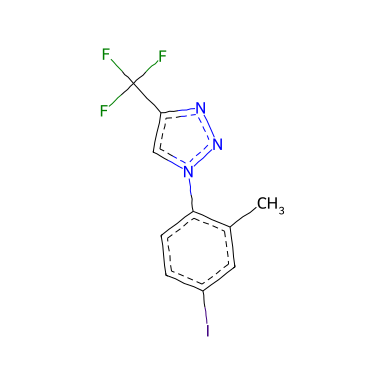 Cc1cc(I)ccc1-n1cc(C(F)(F)F)nn1